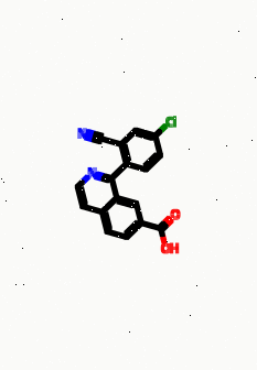 N#Cc1cc(Cl)ccc1-c1nccc2ccc(C(=O)O)cc12